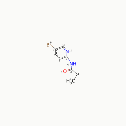 CCC(=O)Nc1ccc(Br)cn1